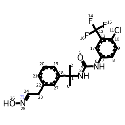 CC(C)(NC(=O)Nc1ccc(Cl)c(C(F)(F)F)c1)c1cccc(C/C=N/O)c1